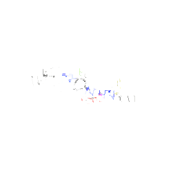 CCC(C#N)=C1CCN(c2ccc(N3CC(CNC(C)=S)OC3=O)cc2F)CC1